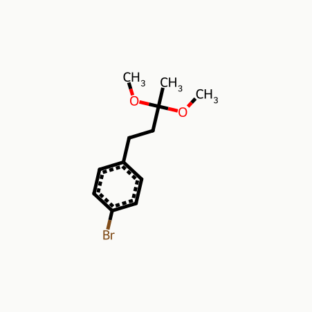 COC(C)(CCc1ccc(Br)cc1)OC